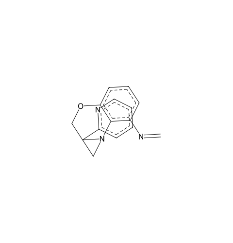 C=Nc1cccc2c1N1CC1(c1ccccn1)CO2